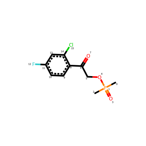 CP(C)(=O)OCC(=O)c1ccc(F)cc1Cl